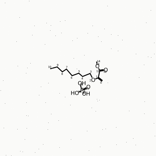 C=C(OCCCCCCCC)C(=O)OC.O=P(O)(O)O